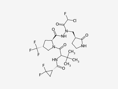 CC(C)(C)C(NC(=O)[C@@H]1CC1(F)F)C(=O)N1C[C@H](C(F)(F)F)C[C@H]1C(=O)NN(C[C@@H]1CCNC1=O)C(=O)C(F)Cl